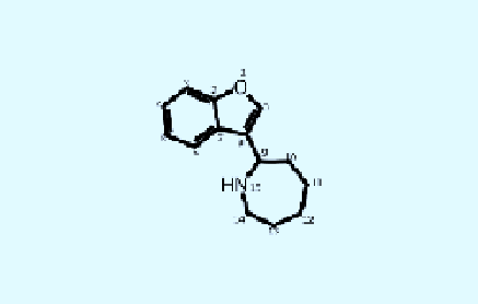 [c]1oc2ccccc2c1C1CCCCCN1